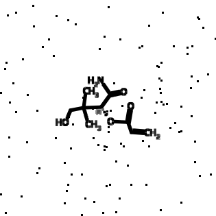 C=CC(=O)O[C@@H](C(N)=O)C(C)(C)CO